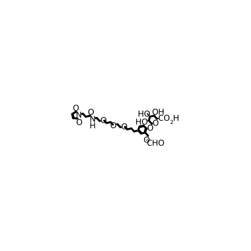 O=COCc1cc(CCCOCCOCCOCCNC(=O)CCN2C(=O)C=CC2=O)ccc1O[C@@H]1O[C@H](C(=O)O)[C@@H](O)[C@H](O)[C@H]1O